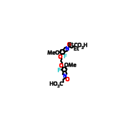 CCC(CC)(CC(=O)N1Cc2cc(OC)c(OCCCOc3c(OC)cc4c(c3F)CN(C(=O)CCC(=O)O)C4)c(F)c2C1)C(=O)O